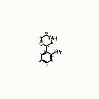 CC(C)c1ccccc1C1CNCCO1